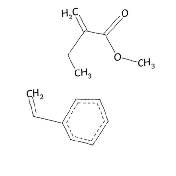 C=C(CC)C(=O)OC.C=Cc1ccccc1